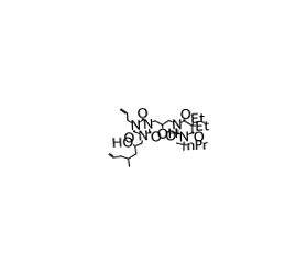 C=CCC(C)CC(O)Cn1c(=O)n(CC=C)c(=O)n(CC(O)CN2C(=O)N(C(C)(C)CCC)C(=O)C(CC)(CC)C2=O)c1=O